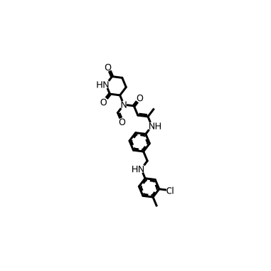 C/C(=C\C(=O)N(C=O)C1CCC(=O)NC1=O)Nc1cccc(CNc2ccc(C)c(Cl)c2)c1